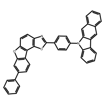 c1ccc(-c2ccc3c(c2)oc2ccc4nc(-c5ccc(-n6c7ccccc7c7cc8ccccc8cc76)cc5)oc4c23)cc1